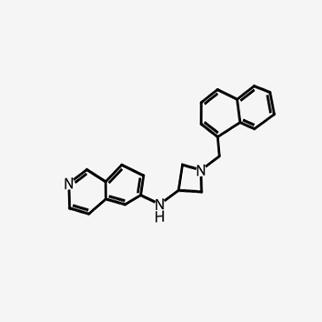 c1ccc2c(CN3CC(Nc4ccc5cnccc5c4)C3)cccc2c1